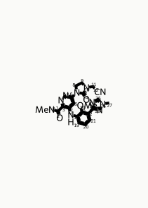 CNC(=O)c1nnc(N2CCN(CC#N)C2=O)cc1Nc1cccc(-c2ncn(C)n2)c1OC